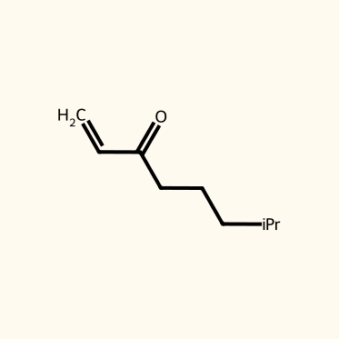 C=CC(=O)CCCC(C)C